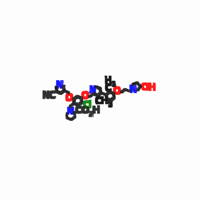 Cc1c(OCCCN2CCC(O)C2)cccc1-c1ccnc(COc2cc(OCc3cncc(C#N)c3)c(CN3CCCCC3C(=O)O)cc2Cl)c1C